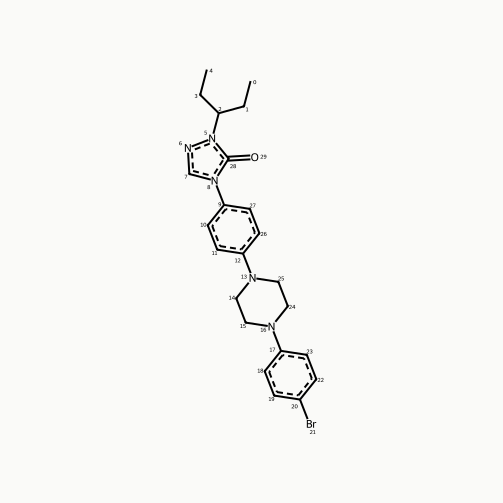 CCC(CC)n1ncn(-c2ccc(N3CCN(c4ccc(Br)cc4)CC3)cc2)c1=O